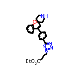 CCOC(=O)CCCn1nnc(-c2ccc(C3=CC4(CCNCC4)Oc4ccccc43)cc2)n1